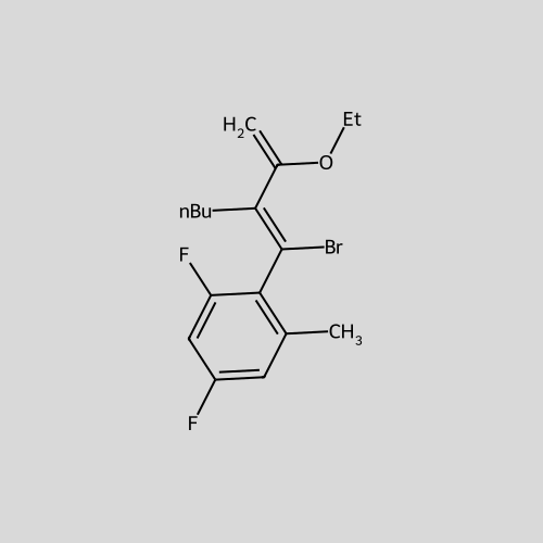 C=C(OCC)/C(CCCC)=C(\Br)c1c(C)cc(F)cc1F